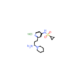 Cl.N[C@H](CCc1cc(NS(=O)(=O)C2CC2)ccn1)N1CCCCC1